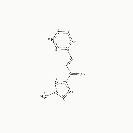 Cc1ccc(C(=O)C=Cc2cccnc2)o1